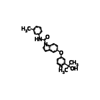 Cc1cccc(NC(=O)n2ccc3cc(Oc4ccnc(C(C)(C)O)c4)ccc32)c1